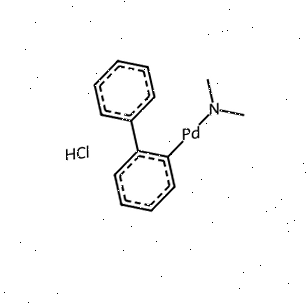 C[N](C)[Pd][c]1ccccc1-c1ccccc1.Cl